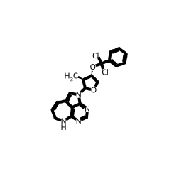 C[C@@H]1C(n2cc3c4c(ncnc42)NCC=C3)OC[C@H]1OC(Cl)(Cl)c1ccccc1